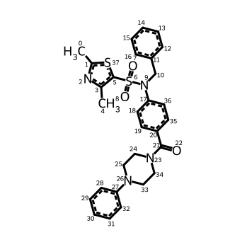 Cc1nc(C)c(S(=O)(=O)N(Cc2ccccc2)c2ccc(C(=O)N3CCN(c4ccccc4)CC3)cc2)s1